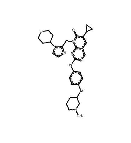 CN1CCCC(Nc2ccc(Nc3ncc4cc(C5CC5)c(=O)n(Cc5nccn5C5CCOCC5)c4n3)cc2)C1